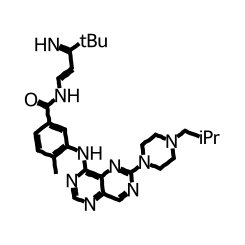 Cc1ccc(C(=O)N/C=C/C(=N)C(C)(C)C)cc1Nc1ncnc2cnc(N3CCN(CC(C)C)CC3)nc12